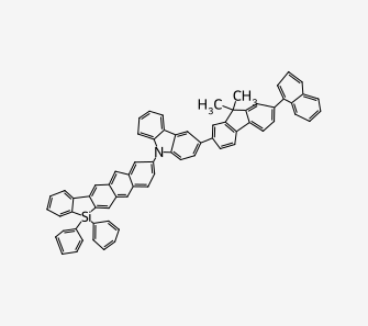 CC1(C)c2cc(-c3ccc4c(c3)c3ccccc3n4-c3ccc4cc5cc6c(cc5cc4c3)-c3ccccc3[Si]6(c3ccccc3)c3ccccc3)ccc2-c2ccc(-c3cccc4ccccc34)cc21